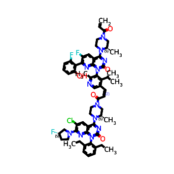 C=CC(=O)N1CCN(c2nc(=O)n(-c3c(C)ncc(/C=C\C(=O)N4CCN(c5nc(=O)n(-c6c(CC)cccc6CC)c6nc(N7CC[C@H](F)C7)c(Cl)cc56)[C@@H](C)C4)c3C(C)C)c3nc(-c4c(O)cccc4F)c(F)cc23)[C@@H](C)C1